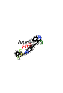 COc1ccc2ncc(Cl)c(CCCC3(CO)CCN(CCSc4c(F)cccc4F)CC3)c2c1